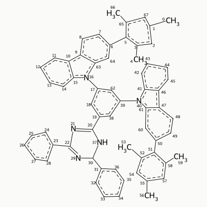 Cc1cc(C)c(-c2ccc3c4ccccc4n(-c4cc(C5=NC(c6ccccc6)=NC(c6ccccc6)N5)cc(-n5c6ccccc6c6ccc(-c7c(C)cc(C)cc7C)cc65)c4)c3c2)c(C)c1